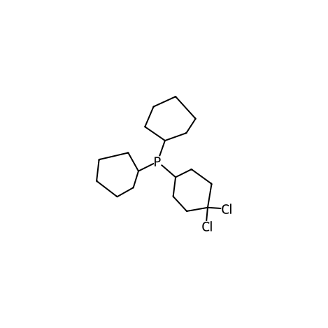 ClC1(Cl)CCC(P(C2CCCCC2)C2CCCCC2)CC1